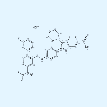 CN(C)C(=O)c1ccc(-c2cccc(F)c2)c(COc2ccc(-c3nc4cc(C(=O)O)ccc4n3C3CCCCC3)cc2)c1.Cl